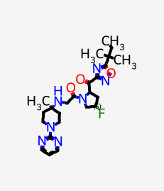 CCC(C)(C)c1nc(C(=O)C2C[C@H](F)CN2C(=O)CNC2(C)CCN(c3ncccn3)CC2)no1